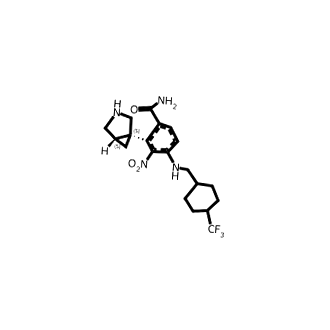 NC(=O)c1ccc(NCC2CCC(C(F)(F)F)CC2)c([N+](=O)[O-])c1[C@@]12CNC[C@H]1C2